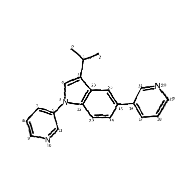 CC(C)c1cn(-c2cccnc2)c2ccc(-c3cccnc3)cc12